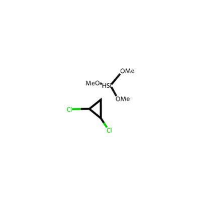 CO[SiH](OC)OC.ClC1CC1Cl